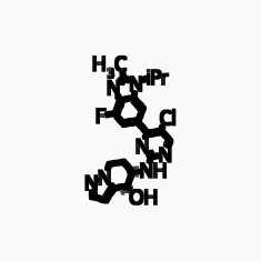 Cc1nc2c(F)cc(-c3nc(N[C@@H]4CCn5nccc5[C@@H]4O)ncc3Cl)cc2n1C(C)C